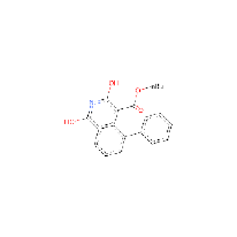 CCCCOC(=O)c1c(O)nc(O)c2cccc(-c3ccccc3)c12